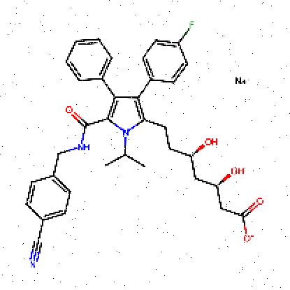 CC(C)n1c(CC[C@@H](O)C[C@@H](O)CC(=O)[O-])c(-c2ccc(F)cc2)c(-c2ccccc2)c1C(=O)NCc1ccc(C#N)cc1.[Na+]